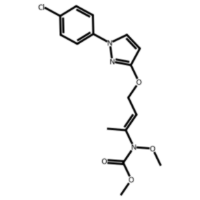 COC(=O)N(OC)/C(C)=C/COc1ccn(-c2ccc(Cl)cc2)n1